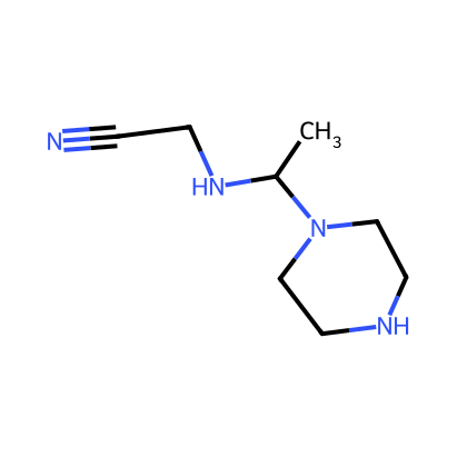 CC(NCC#N)N1CCNCC1